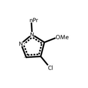 CCCn1n[c]c(Cl)c1OC